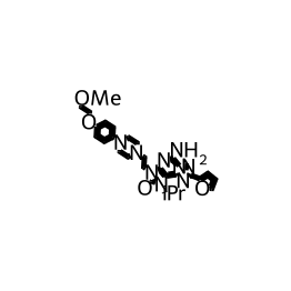 COCCOc1ccc(N2CCN(CCn3c(=O)n(C(C)C)c4c3nc(N)n3nc(-c5ccco5)nc43)CC2)cc1